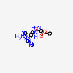 Nc1cc(OCc2ccccc2)c(C=O)cc1C(=O)N[C@H]1CCc2cc(-n3c(-c4cccnc4N)nc4ccc(-n5cccn5)nc43)ccc21